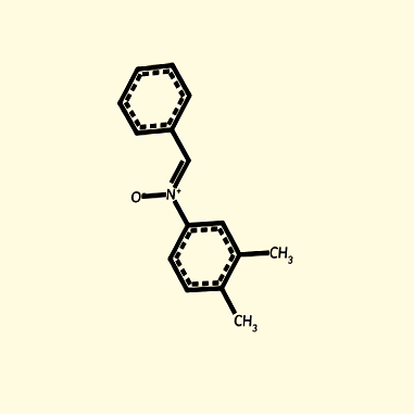 Cc1ccc([N+]([O-])=Cc2ccccc2)cc1C